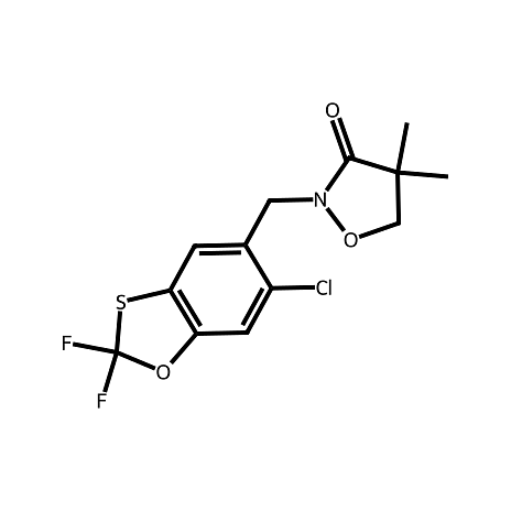 CC1(C)CON(Cc2cc3c(cc2Cl)OC(F)(F)S3)C1=O